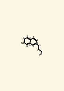 CCCCc1ccc2c[c]ccc2c1